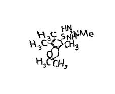 CNC(=N)NSc1c(C)c(C)c2c(c1C)CC(C)(C)O2